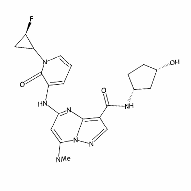 CNc1cc(Nc2cccn(C3C[C@H]3F)c2=O)nc2c(C(=O)N[C@@H]3CC[C@H](O)C3)cnn12